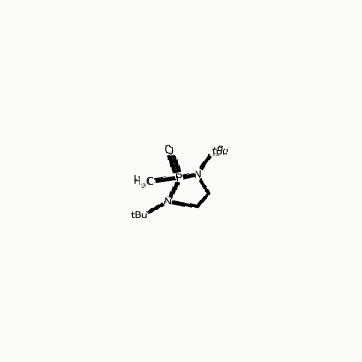 CC(C)(C)N1CCN(C(C)(C)C)P1(C)=O